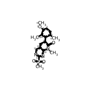 COc1ccc(C)c(-c2cc3cnc(S(C)(=O)=O)nc3n(C)c2=O)c1C